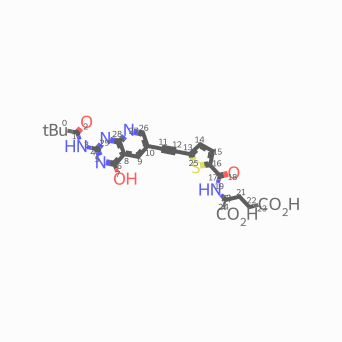 CC(C)(C)C(=O)Nc1nc(O)c2cc(C#Cc3ccc(C(=O)N[C@@H](CCC(=O)O)C(=O)O)s3)cnc2n1